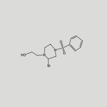 O=S(=O)(c1ccccc1)N1CCN(CCO)C(Br)C1